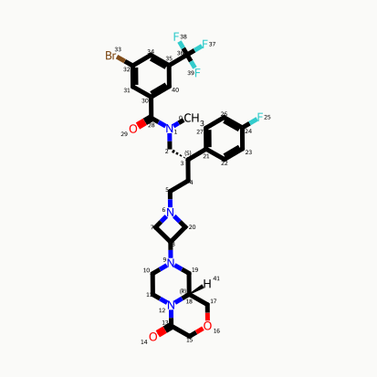 CN(C[C@@H](CCN1CC(N2CCN3C(=O)COC[C@H]3C2)C1)c1ccc(F)cc1)C(=O)c1cc(Br)cc(C(F)(F)F)c1